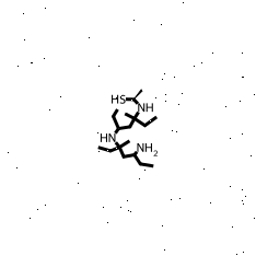 CCC(N)CC(C)(CC)NC(CC)CC(C)(CC)N[C@H](C)S